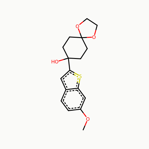 COc1ccc2cc(C3(O)CCC4(CC3)OCCO4)sc2c1